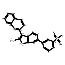 CS(=O)(=O)c1cccc(-c2ccc3c(-c4ccc5ccccc5n4)c(O)[nH]c3c2)c1